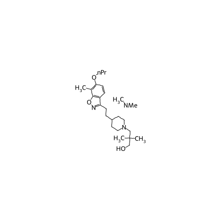 CCCOc1ccc2c(CCC3CCN(CC(C)(C)CO)CC3)noc2c1C.CNC